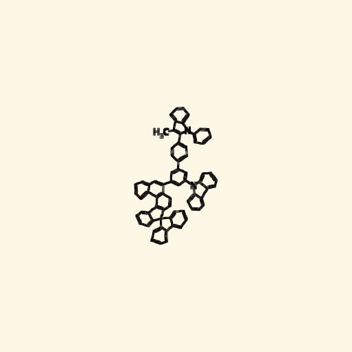 Cc1c(-c2ccc(-c3cc(-c4cc5ccccc5c5c6c(ccc45)C4(c5ccccc5-c5ccccc54)c4ccccc4-6)cc(-n4c5ccccc5c5ccccc54)c3)cc2)n(-c2ccccc2)c2ccccc12